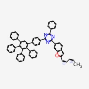 C/C=C\C=C/c1cc2ccc(-c3nc(-c4ccccc4)nc(-c4ccc(-c5cc(-c6ccccc6)c(-c6ccccc6)c(-c6ccccc6)c5-c5ccccc5)cc4)n3)cc2o1